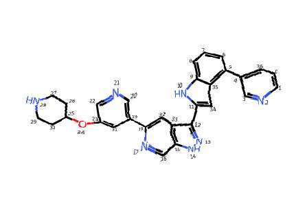 c1cncc(-c2cccc3[nH]c(-c4n[nH]c5cnc(-c6cncc(OC7CCNCC7)c6)cc45)cc23)c1